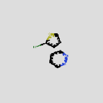 Clc1cccs1.c1ccnnc1